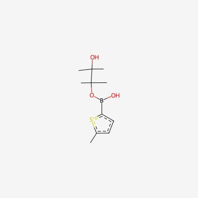 Cc1ccc(B(O)OC(C)(C)C(C)(C)O)s1